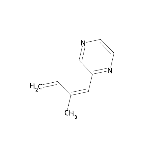 C=CC(C)=Cc1cnccn1